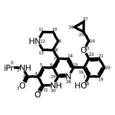 CC(C)NC(=O)c1cc2c(C3CCCNC3)cc(-c3c(O)cccc3OCC3CC3)nc2[nH]c1=O